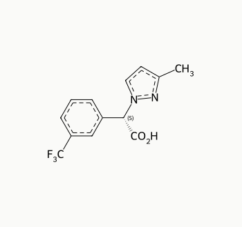 Cc1ccn([C@H](C(=O)O)c2cccc(C(F)(F)F)c2)n1